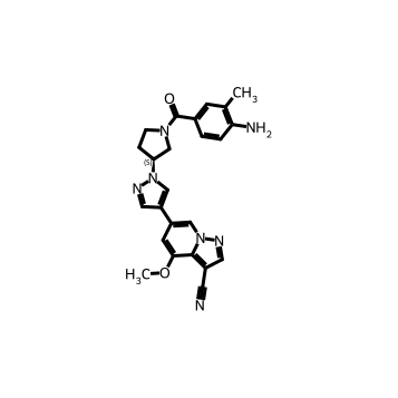 COc1cc(-c2cnn([C@H]3CCN(C(=O)c4ccc(N)c(C)c4)C3)c2)cn2ncc(C#N)c12